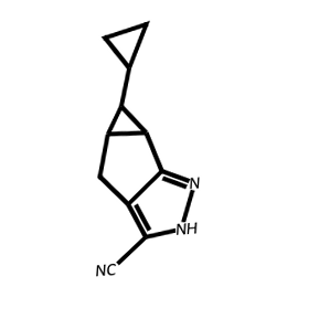 N#Cc1[nH]nc2c1CC1C2C1C1CC1